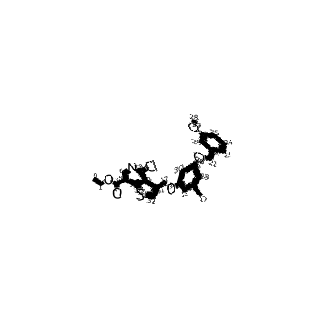 CCOC(=O)c1cnc(Cl)c2c(COc3cc(C)cc(OCc4cccc(OC)c4)c3)csc12